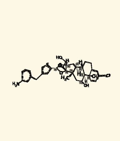 C[C@]12C=CC(=O)C=C1CC[C@@H]1[C@@H]2[C@@H](O)C[C@@]2(C)[C@H]1C[C@H]1O[C@@H](c3cc(Cc4cccc(N)c4)cs3)O[C@]12C(=O)CO